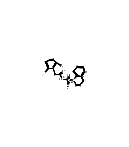 O=C(Cc1c(F)cccc1F)NS(=O)(=O)N1CCCc2ccccc21